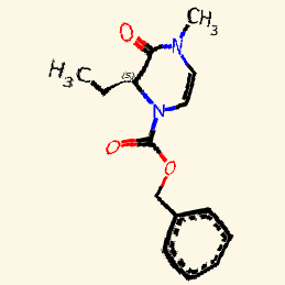 CC[C@H]1C(=O)N(C)C=CN1C(=O)OCc1ccccc1